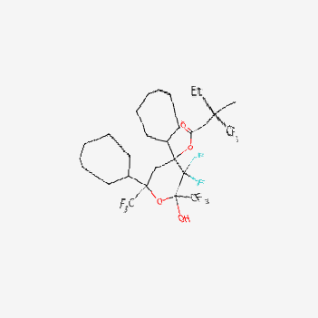 CCC(C)(C(=O)OC1(C2CCCCC2)CC(C2CCCCC2)(C(F)(F)F)OC(O)(C(F)(F)F)C1(F)F)C(F)(F)F